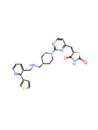 O=C1NC(=O)/C(=C\c2ccnc(N3CCC(CNCc4cccnc4-c4ccsc4)CC3)n2)S1